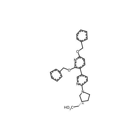 O=C(O)C[C@H]1CCN(c2ccc(-c3ccc(OCc4ccccc4)nc3OCc3ccccc3)cn2)C1